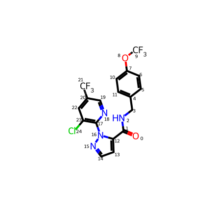 O=C(NCc1ccc(OC(F)(F)F)cc1)c1ccnn1-c1ncc(C(F)(F)F)cc1Cl